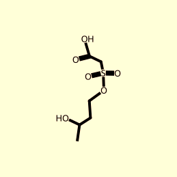 CC(O)CCOS(=O)(=O)CC(=O)O